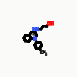 OCCCN[C@@H]1Cc2ccccc2N(c2ccc(C(F)(F)F)cc2)C1